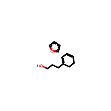 OCCCC1=CC=CCC1.c1ccoc1